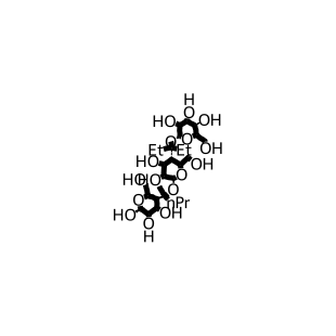 CCCC(C)(O[C@H]1OC(CO)[C@@H](C(CC)(CC)O[C@H]2OC(CO)[C@@H](O)C(O)C2O)C(O)C1O)[C@@H]1C(CO)O[C@H](O)C(O)C1O